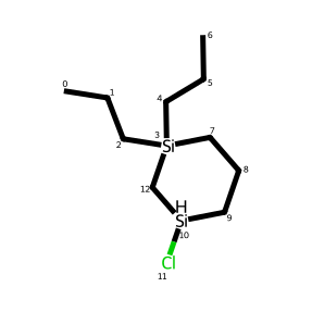 CCC[Si]1(CCC)CCC[SiH](Cl)C1